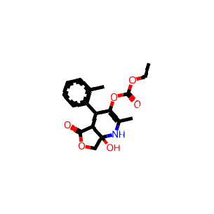 CCOC(=O)OC1=C(C)NC2(O)COC(=O)C2C1c1ccccc1C